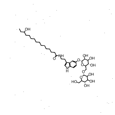 CCC(O)CCCCCCCCCCCCC(=O)NCCc1c[nH]c2ccc(O[C@H]3OC(CO[C@H]4OC(CO)[C@@H](O)C(O)C4O)[C@@H](O)C(O)C3O)cc12